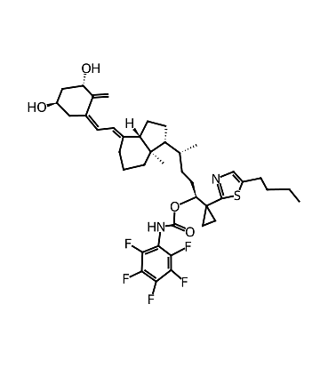 C=C1/C(=C\C=C2/CCC[C@]3(C)[C@@H]([C@H](C)CC[C@H](OC(=O)Nc4c(F)c(F)c(F)c(F)c4F)C4(c5ncc(CCCC)s5)CC4)CC[C@@H]23)C[C@@H](O)C[C@@H]1O